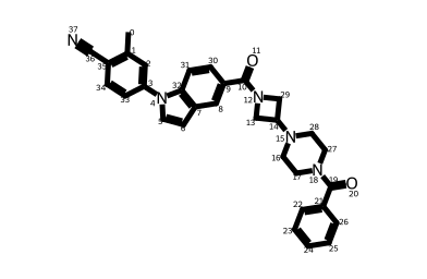 Cc1cc(-n2ccc3cc(C(=O)N4CC(N5CCN(C(=O)c6ccccc6)CC5)C4)ccc32)ccc1C#N